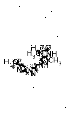 Cc1nc(NCc2cnn(Cc3ccc(C(C)(F)F)nc3)c2)cc2c1NC(=O)[C@H](C)N2C